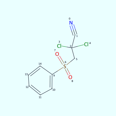 N#CC(Cl)(Cl)CS(=O)(=O)c1ccccc1